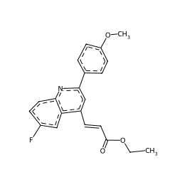 CCOC(=O)C=Cc1cc(-c2ccc(OC)cc2)nc2ccc(F)cc12